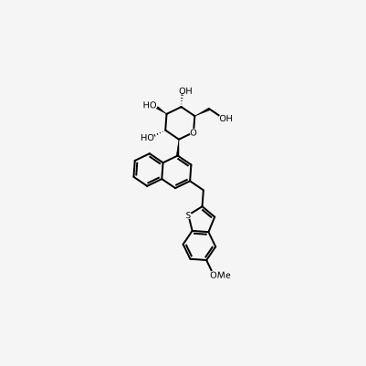 COc1ccc2sc(Cc3cc([C@@H]4O[C@H](CO)[C@@H](O)[C@H](O)[C@H]4O)c4ccccc4c3)cc2c1